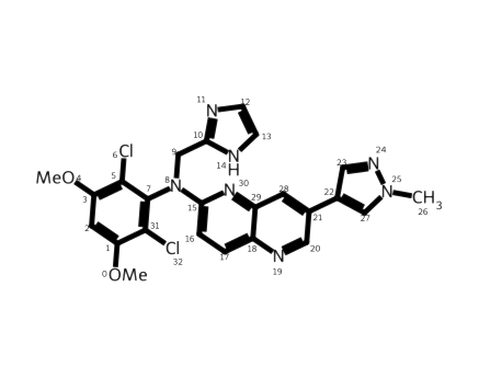 COc1cc(OC)c(Cl)c(N(Cc2ncc[nH]2)c2ccc3ncc(-c4cnn(C)c4)cc3n2)c1Cl